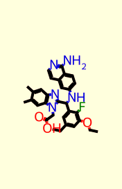 CCOc1cc(CC)cc(C(Nc2ccc3c(N)nccc3c2)c2nc3cc(C)c(C)cc3n2CC(=O)O)c1F